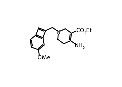 CCOC(=O)C1=C(N)CCN(CC2=Cc3ccc(OC)cc32)C1